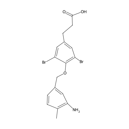 Cc1ccc(COc2c(Br)cc(CCC(=O)O)cc2Br)cc1N